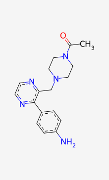 CC(=O)N1CCN(Cc2nccnc2-c2ccc(N)cc2)CC1